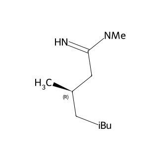 CCC(C)C[C@@H](C)CC(=N)NC